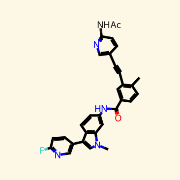 CC(=O)Nc1ccc(C#Cc2cc(C(=O)Nc3ccc4c(-c5ccc(F)nc5)cn(C)c4c3)ccc2C)cn1